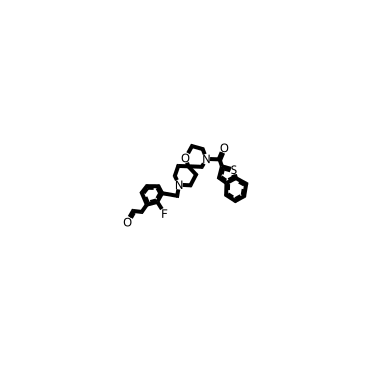 O=CCc1cccc(CN2CCC3(CC2)CN(C(=O)c2cc4ccccc4s2)CCO3)c1F